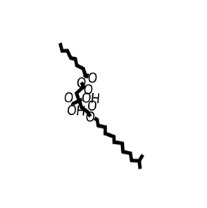 CCCCCCCC(=O)OC(=O)CC(O)(CC(=O)OCCCCCCCCCCC(C)C)C(=O)O